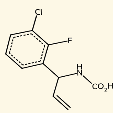 C=CC(NC(=O)O)c1cccc(Cl)c1F